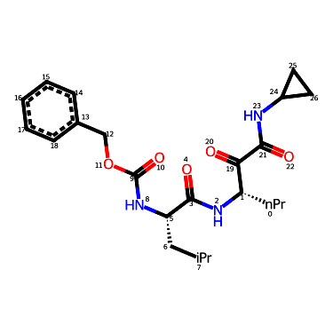 CCC[C@H](NC(=O)[C@H](CC(C)C)NC(=O)OCc1ccccc1)C(=O)C(=O)NC1CC1